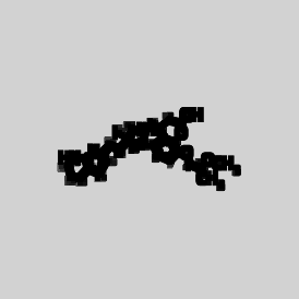 CO[C@H](C)COc1cccc([C@H](CC(=O)O)CN2CC[C@@](F)(CCc3ccc4c(n3)NCCC4)C2)c1